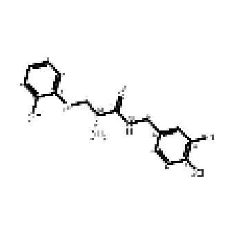 N[C@H](CSc1ccccc1O)C(=O)NCc1ccc(Cl)c(Cl)c1